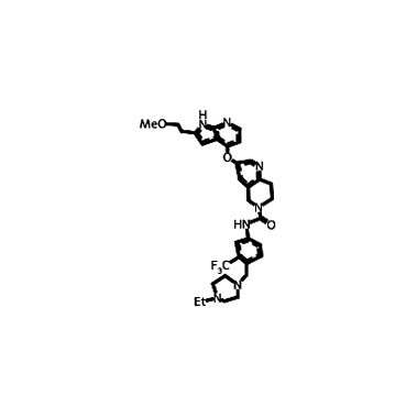 CCN1CCN(Cc2ccc(NC(=O)N3CCc4ncc(Oc5ccnc6[nH]c(CCOC)cc56)cc4C3)cc2C(F)(F)F)CC1